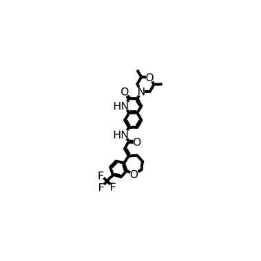 CC1CN(c2cc3ccc(NC(=O)/C=C4\CCCOc5cc(C(F)(F)F)ccc54)cc3[nH]c2=O)CC(C)O1